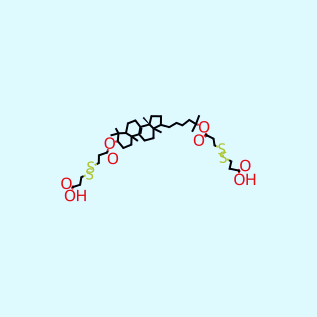 CC(C)(CCCCC1CC[C@@]2(C)C3=C(CCC12C)C1(C)CCC(OC(=O)CCSSCCC(=O)O)C(C)(C)C1CC3)OC(=O)CCSSCCC(=O)O